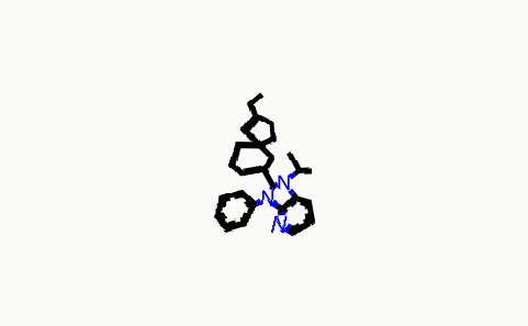 CCC1=CC2(CCC=C(C3N(c4ccccc4)c4ncccc4N3C(C)C)C2)CC1